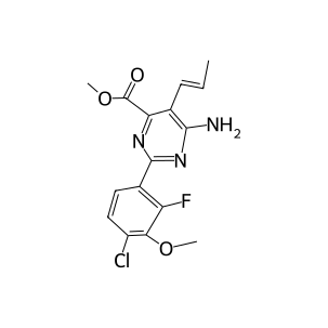 C/C=C/c1c(N)nc(-c2ccc(Cl)c(OC)c2F)nc1C(=O)OC